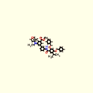 CCN(c1cc(-c2cccc(NC(=O)c3cc(C(C)C)c(OCc4ccccc4)cc3OCc3ccccc3)c2)cc(C(=O)OC)c1C)C1CCOCC1